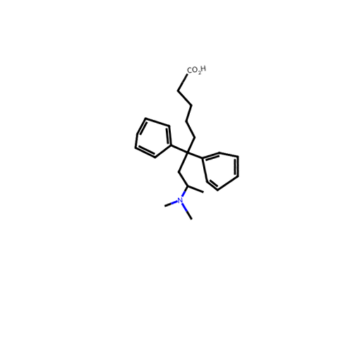 CC(CC(CCCCC(=O)O)(c1ccccc1)c1ccccc1)N(C)C